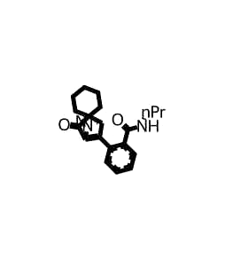 CCCNC(=O)c1ccccc1C1=C2C(=O)C3(CCCCC3)C1[N+]2=[N-]